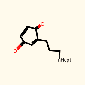 CCCCCCCCCCC1=CC(=O)C=CC1=O